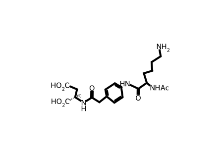 CC(=O)NC(CCCCN)C(=O)Nc1ccc(CC(=O)N[C@@H](CC(=O)O)C(=O)O)cc1